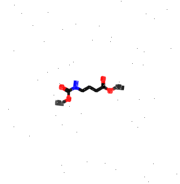 CC(C)(C)OC(=O)CCCNC(=O)OC(C)(C)C